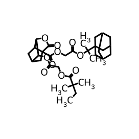 CCC(C)(C)C(=O)OCC(=O)OC1C2CC3C1OC(=O)C3(C(=O)OCC(=O)OC(C)(C)C13CC4CC(CC(C4)C1)C3)C2